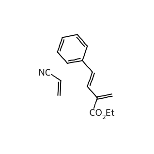 C=C(C=Cc1ccccc1)C(=O)OCC.C=CC#N